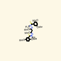 CO/C(C/C(=N/N(C)C(=S)c1cc(OC)ccc1OC)OC)=N\N(C)C(=S)c1cc(OC)ccc1OC